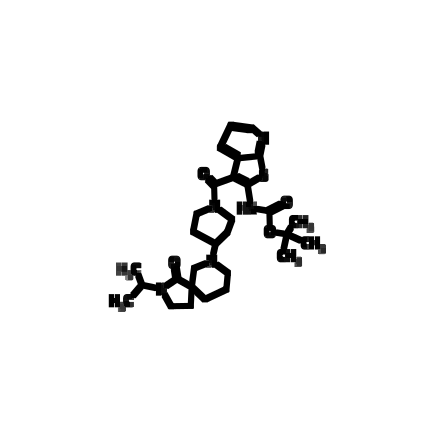 CC(C)N1CCC2(CCCN(C3CCN(C(=O)c4c(NC(=O)OC(C)(C)C)sc5ncccc45)CC3)C2)C1=O